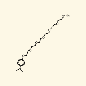 CCCCOCCOCCOCCOCCOCCOCCOc1ccc(N(C)C)cc1